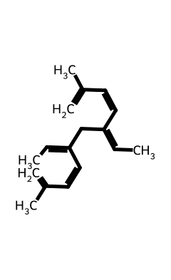 C=C(C)/C=C\C(=C/C)CC(/C=C\C(=C)C)=C/C